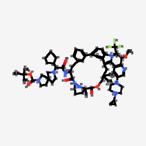 CO[C@@H](C)c1ncc(N2CCN(C3CC3)CC2)cc1-c1c2c3cc(ccc3n1CC(F)(F)F)-c1cccc(c1)C[C@H](NC(=O)[C@H](C1CCCC1)N1CC[C@]3(CCN(C(=O)OC(C)(C)C)C3)C1)C(=O)N1CCC[C@H](N1)C(=O)OCC(C)(C)C2